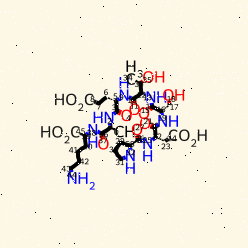 C[C@H](NC(=O)[C@H](CCC(=O)O)NC(=O)[C@@H](NC(=O)[C@H](CO)NC(=O)[C@H](CC(=O)O)NC(=O)[C@@H]1CCCN1)[C@@H](C)O)C(=O)N[C@@H](CCCCN)C(=O)O